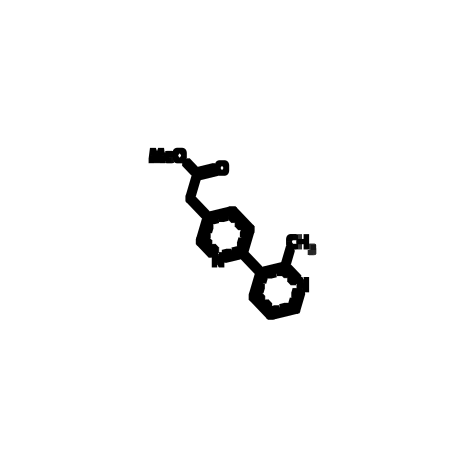 COC(=O)Cc1ccc(-c2cccnc2C)nc1